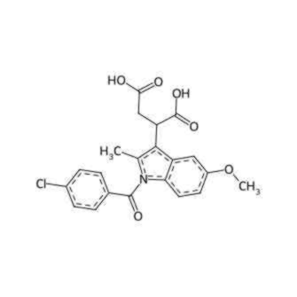 COc1ccc2c(c1)c(C(CC(=O)O)C(=O)O)c(C)n2C(=O)c1ccc(Cl)cc1